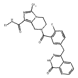 CCNC(=O)c1nc(C(F)(F)F)n2c1CN(C(=O)c1cc(Cc3n[nH]c(=O)c4ccccc34)ccc1F)CC2